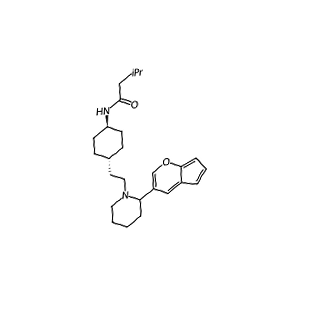 CC(C)CC(=O)N[C@H]1CC[C@H](CCN2CCCCC2c2coc3cccc-3c2)CC1